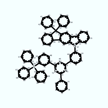 c1ccc(-c2nc(-c3cccc(-n4c5ccccc5c5cc6c(cc54)-c4ccccc4C6(c4ccccc4)c4ccccc4)c3)nc(-c3cccc(S(c4ccccc4)(c4ccccc4)c4ccccc4)c3)n2)cc1